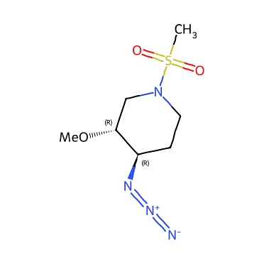 CO[C@@H]1CN(S(C)(=O)=O)CC[C@H]1N=[N+]=[N-]